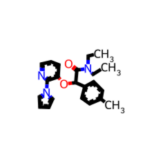 CCN(CC)C(=O)C(Oc1cccnc1-n1cccc1)c1ccc(C)cc1